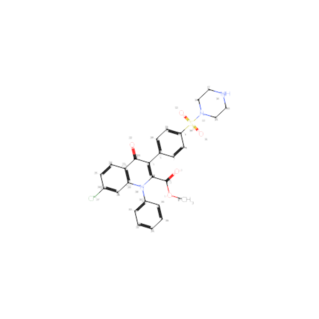 COC(=O)c1c(-c2ccc(S(=O)(=O)N3CCNCC3)cc2)c(=O)c2ccc(Cl)cc2n1-c1ccccc1